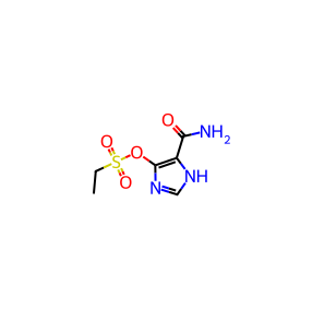 CCS(=O)(=O)Oc1nc[nH]c1C(N)=O